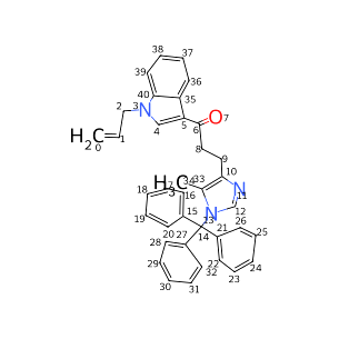 C=CCn1cc(C(=O)CCc2ncn(C(c3ccccc3)(c3ccccc3)c3ccccc3)c2C)c2ccccc21